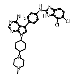 CN1CCN(C2CCC(n3cc(-c4ccc(Nc5nc6ccc(Cl)c(Cl)c6[nH]5)cc4)c4c(N)ncnc43)CC2)CC1